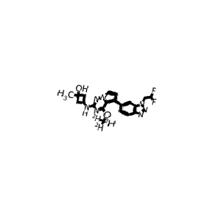 [2H]C([2H])([2H])Oc1nc(NC2CC(C)(O)C2)nn2ccc(-c3ccc4nnn(CC(F)F)c4c3)c12